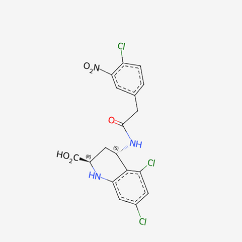 O=C(Cc1ccc(Cl)c([N+](=O)[O-])c1)N[C@H]1C[C@H](C(=O)O)Nc2cc(Cl)cc(Cl)c21